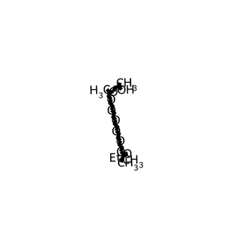 CCC(C)(C)C(=O)OCCOCCOCCOCCOCCOCC(C)OCC(C)O